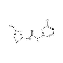 Cc1csc(NC(=O)Nc2ccnc(Cl)c2)n1